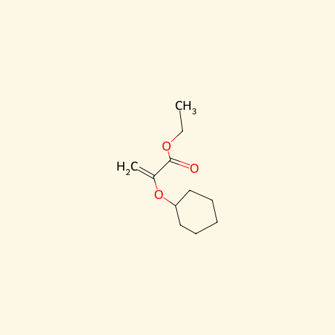 C=C(OC1CCCCC1)C(=O)OCC